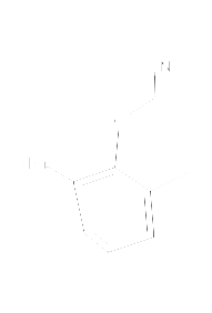 Cc1cccc(C(C)(C)C)c1OCC#N